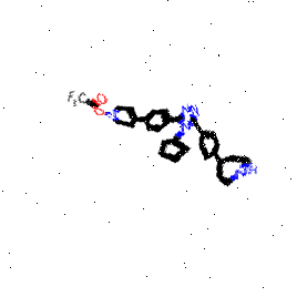 O=C(ON1CC=C(c2ccc(-c3nnc(-c4ccc(C5=CCNCC5)cc4)n3C3CCCC3)cc2)CC1)C(F)(F)F